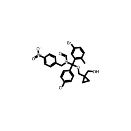 Cc1ccc(Br)cc1C(OCC1(CO)CC1)(c1ccc(Cl)cc1)N(C=O)Cc1ccc([N+](=O)[O-])cc1